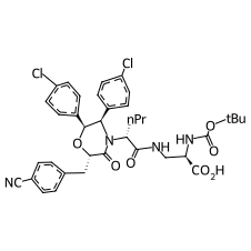 CCC[C@H](C(=O)NC[C@@H](NC(=O)OC(C)(C)C)C(=O)O)N1C(=O)[C@H](Cc2ccc(C#N)cc2)O[C@@H](c2ccc(Cl)cc2)[C@H]1c1ccc(Cl)cc1